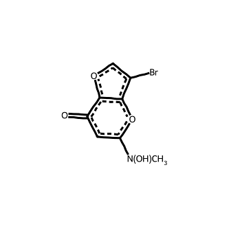 CN(O)c1cc(=O)c2occ(Br)c2o1